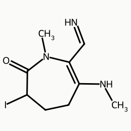 CNC1=C(C=N)N(C)C(=O)C(I)CC1